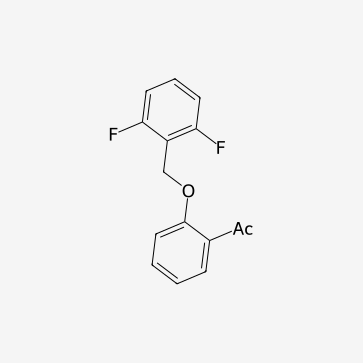 CC(=O)c1ccccc1OCc1c(F)cccc1F